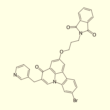 O=C1c2ccccc2C(=O)N1CCCOc1cc2c(=O)c(Cc3cccnc3)cn3c4cc(Br)ccc4c(c1)c23